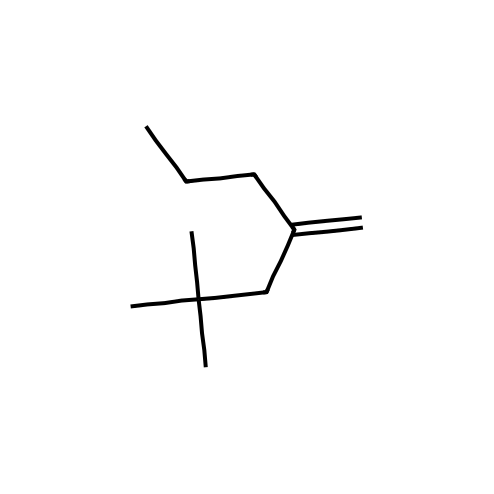 C=C(CCC)CC(C)(C)C